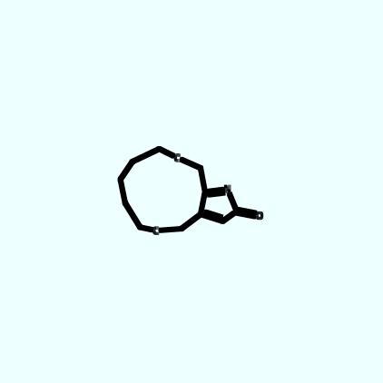 O=C1C=C2CCCCCCCCCC2=N1